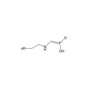 CCCCCN/C=[P+](/[O-])O